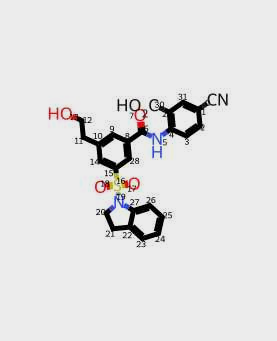 N#Cc1ccc(NC(=O)c2cc(CCO)cc(S(=O)(=O)N3CCc4ccccc43)c2)c(C(=O)O)c1